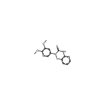 COc1cc(N2Sc3cccnc3NC2=O)cnc1OC